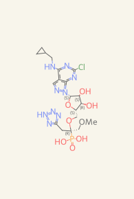 COC[C@](Cc1nn[nH]n1)(OC[C@@H]1O[C@H](n2ncc3c(NCC4CC4)nc(Cl)nc32)[C@@H](O)[C@H]1O)P(=O)(O)O